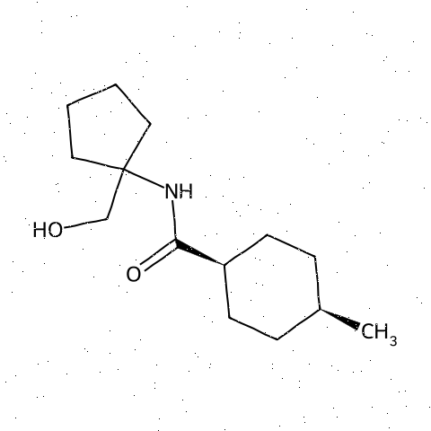 C[C@H]1CC[C@@H](C(=O)NC2(CO)CCCC2)CC1